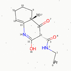 CC(C)CNC(=O)[C@H]1C(=O)[C@H]2CCCC=C2N=C1O